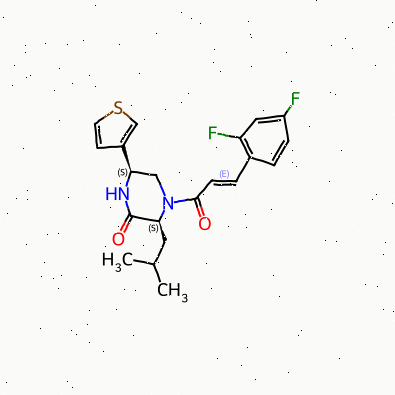 CC(C)C[C@H]1C(=O)N[C@@H](c2ccsc2)CN1C(=O)/C=C/c1ccc(F)cc1F